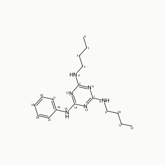 CCCCNc1nc(NCCCC)nc(Nc2ccccc2)n1